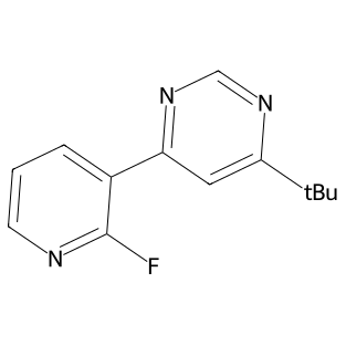 CC(C)(C)c1cc(-c2cccnc2F)ncn1